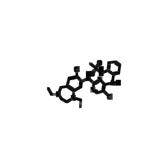 CCN1CCN(CC)c2cc(Nc3ncc(Cl)c([AsH]c4ccccc4NS(C)(=O)=O)n3)c(Cl)cc2C1